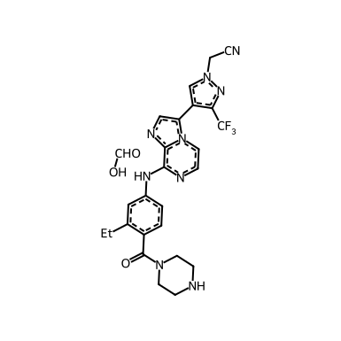 CCc1cc(Nc2nccn3c(-c4cn(CC#N)nc4C(F)(F)F)cnc23)ccc1C(=O)N1CCNCC1.O=CO